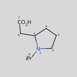 CC(C)N1CCCC1CC(=O)O